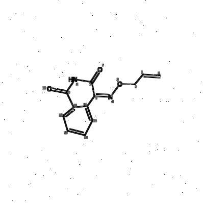 C=CCON=C1C(=O)NC(=O)c2ccccc21